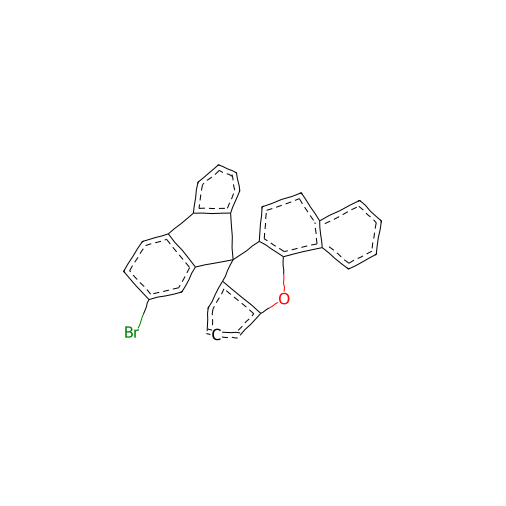 Brc1ccc2c(c1)C1(c3ccccc3Oc3c1ccc1ccccc31)c1ccccc1-2